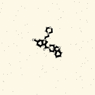 O=C(c1cn(CCN2CCOCC2)c2cc(Cl)ccc12)N1CCC2(CC1)COc1ccccc12